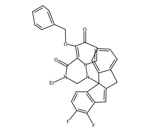 CCN1CN(C23C(=Cc4c2ccc(F)c4F)Cc2ccccc23)n2ccc(=O)c(OCc3ccccc3)c2C1=O